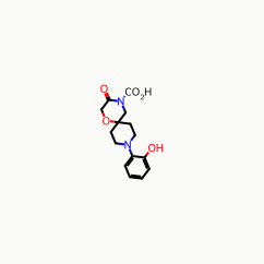 O=C(O)N1CC2(CCN(c3ccccc3O)CC2)OCC1=O